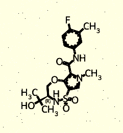 Cc1cc(NC(=O)c2c3c(cn2C)S(=O)(=O)N[C@@H](C(C)(C)O)CO3)ccc1F